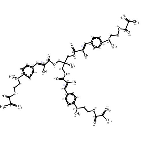 C=C(C)C(=O)OCCN(C)c1ccc(/C=C(\C#N)C(=O)OCC(C)(COC(=O)/C(C#N)=C/c2ccc(N(C)CCOC(=O)C(=C)C)cc2)COC(=O)/C(C#N)=C/c2ccc(N(C)CCOC(=O)C(=C)C)cc2)cc1